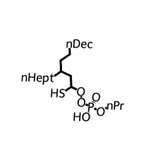 CCCCCCCCCCCCC(CCCCCCC)CC(S)OOP(=O)(O)OCCC